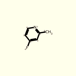 Cc1cc(F)[c]cn1